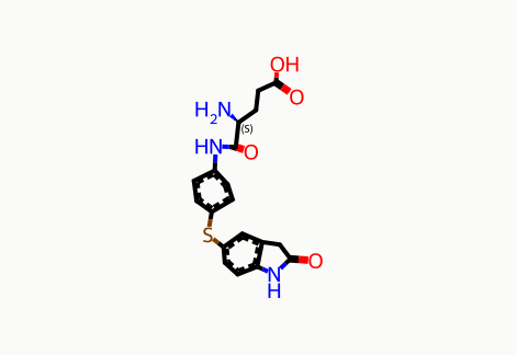 N[C@@H](CCC(=O)O)C(=O)Nc1ccc(Sc2ccc3c(c2)CC(=O)N3)cc1